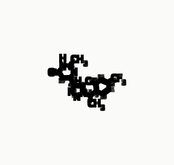 Cc1nc(-c2cn(C(C)c3ccc(C(F)(F)F)cc3C)nn2)cc(=O)[nH]1